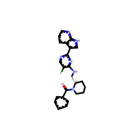 O=C(c1ccccc1)N1CCCC[C@H]1CNc1nc(-c2c[nH]c3ncccc23)ncc1F